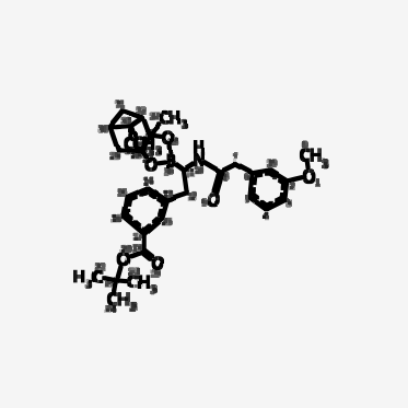 COc1cccc(CC(=O)NC(Cc2cccc(C(=O)OC(C)(C)C)c2)B2OC3CC4CC(C4(C)C)C3(C)O2)c1